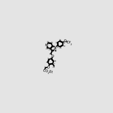 CCOC(=O)COc1ccc(OCc2nn(-c3ccc(OC(F)(F)F)cc3)c3ccncc23)cc1C